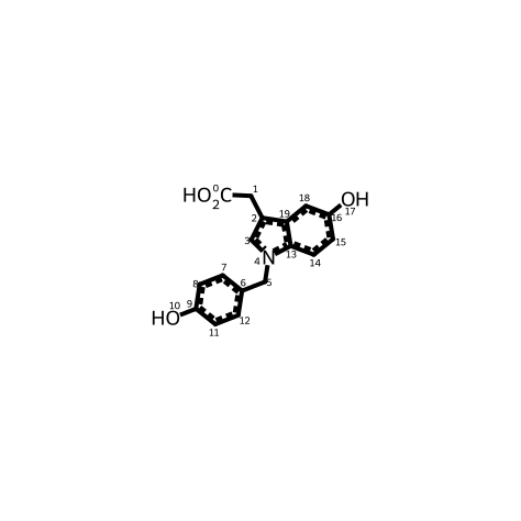 O=C(O)Cc1cn(Cc2ccc(O)cc2)c2ccc(O)cc12